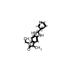 CCN1C(=O)C(C)c2cc3c(cc21)NC(c1cccnc1)N3